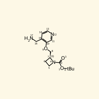 CC(C)(C)OC(=O)N1CC[C@H]1COc1cnccc1CN